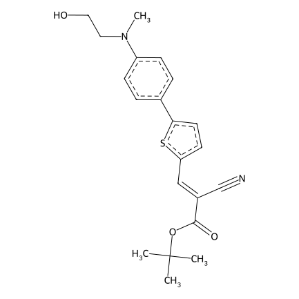 CN(CCO)c1ccc(-c2ccc(/C=C(\C#N)C(=O)OC(C)(C)C)s2)cc1